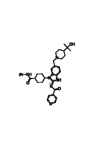 CC(C)NC(=O)[C@H]1CC[C@@H](n2/c(=N/C(=O)c3ccncc3)[nH]c3ccc(CN4CCC(C(C)(C)O)CC4)cc32)CC1